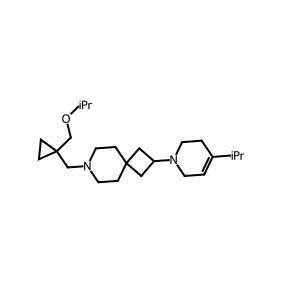 CC(C)OCC1(CN2CCC3(CC2)CC(N2CC=C(C(C)C)CC2)C3)CC1